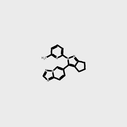 Cc1cccc(-n2nc3c(c2-c2ccc4ncnn4c2)CCC3)n1